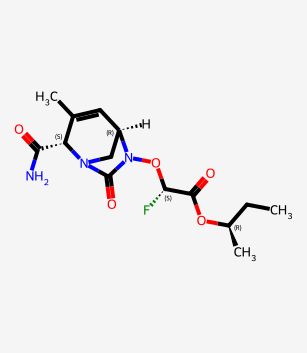 CC[C@@H](C)OC(=O)[C@H](F)ON1C(=O)N2C[C@H]1C=C(C)[C@H]2C(N)=O